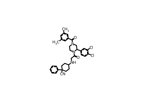 Cc1cc(C)cc(C(=O)N2CCN(C(=O)CNC3CCC(C#N)(c4ccccc4)CC3)C(c3ccc(Cl)c(Cl)c3)C2)c1